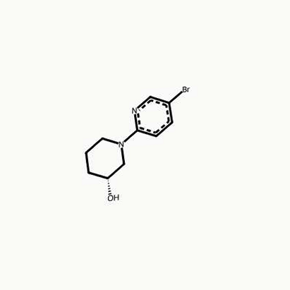 O[C@@H]1CCCN(c2ccc(Br)cn2)C1